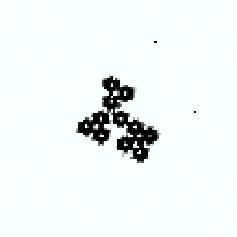 c1ccc(-c2ccc(N(c3ccc(-c4ccc5c(c4)c(-c4ccccc4)c(-c4ccccc4)c4ccccc45)cc3)c3ccc(-c4ccccc4)c(-c4ccccc4)c3)cc2-c2ccccc2)cc1